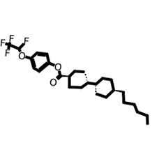 CCCCCC[C@H]1CC[C@H]([C@H]2CC[C@H](C(=O)Oc3ccc(OC(F)C(F)(F)F)cc3)CC2)CC1